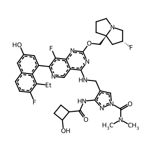 CCc1c(F)ccc2cc(O)cc(-c3ncc4c(NCc5cn(C(=O)N(C)C)nc5NC(=O)C5CCC5O)nc(OC[C@@]56CCCN5C[C@H](F)C6)nc4c3F)c12